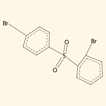 O=S(=O)(c1ccc(Br)cc1)c1ccccc1Br